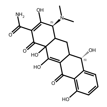 CN(C)[C@@H]1C(O)=C(C(N)=O)C(=O)C2(O)C(O)=C3C(=O)c4c(O)cccc4[C@@H](O)C3CC12